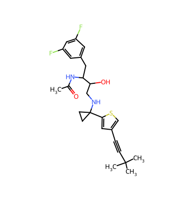 CC(=O)NC(Cc1cc(F)cc(F)c1)C(O)CNC1(c2cc(C#CC(C)(C)C)cs2)CC1